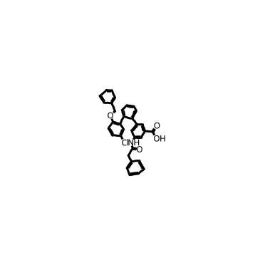 O=C(Cc1ccccc1)Nc1cc(C(=O)O)cc(-c2ccccc2-c2cc(Cl)ccc2OCc2ccccc2)c1